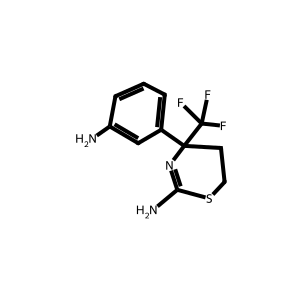 NC1=NC(c2cccc(N)c2)(C(F)(F)F)CCS1